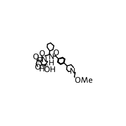 COCCN1CCC(c2ccc(C(=O)NC(C(=O)N3C[C@@H](O)[C@H]4OCC(=O)[C@H]43)C3CCCCC3)cc2)CC1